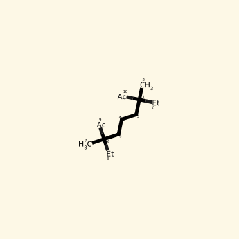 CCC(C)(CCCC(C)(CC)C(C)=O)C(C)=O